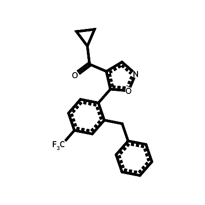 O=C(c1cnoc1-c1ccc(C(F)(F)F)cc1Cc1ccccc1)C1CC1